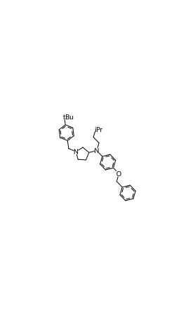 CC(C)CCN(c1ccc(OCc2ccccc2)cc1)C1CCN(Cc2ccc(C(C)(C)C)cc2)C1